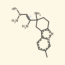 CCCN(N)/C=C(\N)C1(N)CCc2nn3cc(C)ccc3c2C1